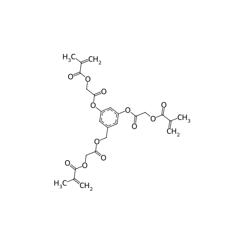 C=C(C)C(=O)OCC(=O)OCc1cc(OC(=O)COC(=O)C(=C)C)cc(OC(=O)COC(=O)C(=C)C)c1